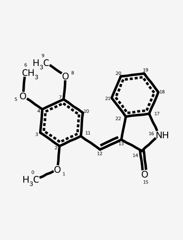 COc1cc(OC)c(OC)cc1/C=C1/C(=O)Nc2ccccc21